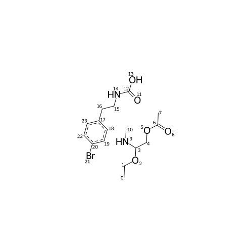 CCOC(COC(C)=O)NC.O=C(O)NCCc1ccc(Br)cc1